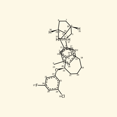 Cc1cc(N2C[C@H]3CC[C@@H](C2)[C@@H]3Nc2nc3n(n2)CCCC[C@H]3Oc2cc(F)cc(Cl)c2)ncn1